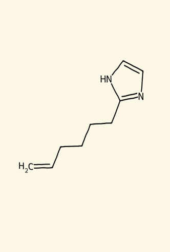 C=CCCCCc1ncc[nH]1